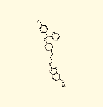 CCOc1ccc2nc(SCCCN3CCC(OC(c4ccc(Cl)cc4)c4ccccn4)CC3)sc2c1